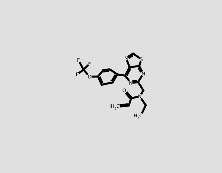 C=CC(=O)N(CC)Cc1nc(-c2ccc(OC(F)(F)F)cc2)c2ncsc2n1